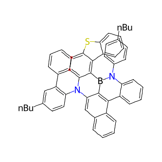 CCCCc1ccc(N2B3c4c(cc5ccccc5c4-c4ccccc42)N(c2ccc(CCCC)cc2-c2ccccc2)c2ccc4sc5ccccc5c4c23)cc1